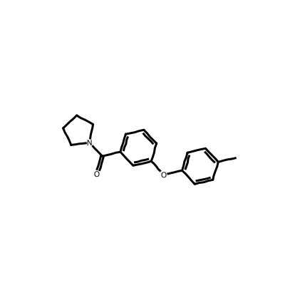 Cc1ccc(Oc2cccc(C(=O)N3CCCC3)c2)cc1